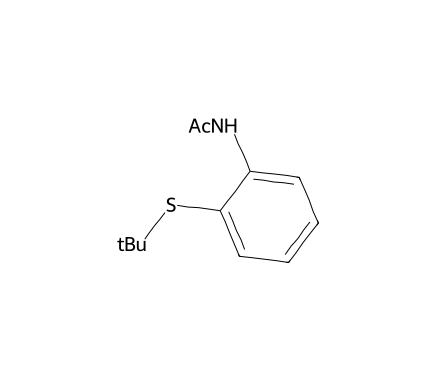 CC(=O)Nc1ccccc1SC(C)(C)C